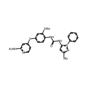 [CH2]C(=O)Nc1cc(Oc2ccc(NC(=O)Nc3cc(C(C)(C)C)nn3-c3ccccc3)c(SC)c2)ccn1